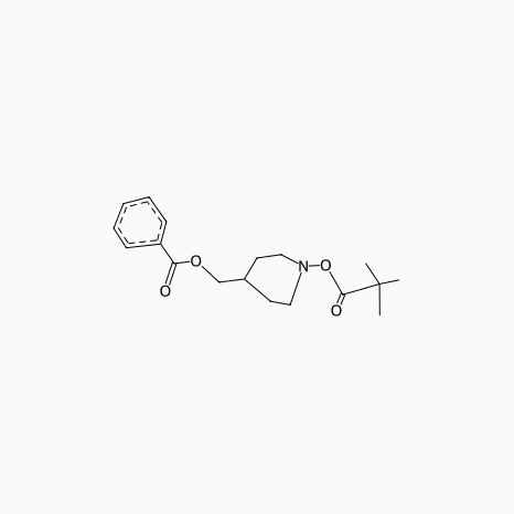 CC(C)(C)C(=O)ON1CCC(COC(=O)c2ccccc2)CC1